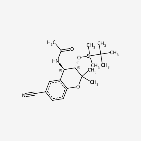 CC(=O)N[C@@H]1c2cc(C#N)ccc2OC(C)(C)[C@H]1O[Si](C)(C)C(C)(C)C